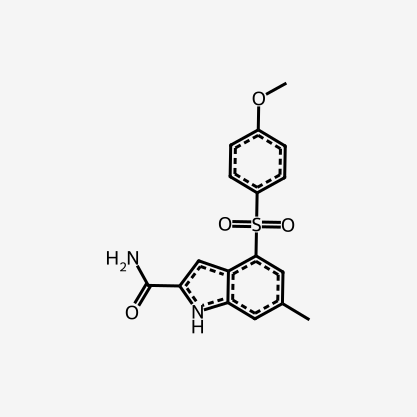 COc1ccc(S(=O)(=O)c2cc(C)cc3[nH]c(C(N)=O)cc23)cc1